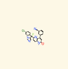 Cn1cncc1[C@@](F)(c1ccc(Cl)cc1)c1ccc2c(n1)c(-c1cccc(C#N)c1)cc(=O)n2C